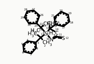 CC(C)(c1ccccc1)[Si](N=C=S)(C(C)(C)c1ccccc1)C(C)(C)c1ccccc1